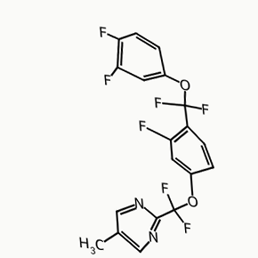 Cc1cnc(C(F)(F)Oc2ccc(C(F)(F)Oc3ccc(F)c(F)c3)c(F)c2)nc1